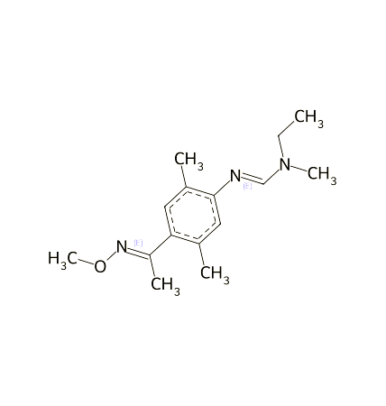 CCN(C)/C=N/c1cc(C)c(/C(C)=N/OC)cc1C